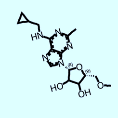 COC[C@H]1O[C@@H](n2cnc3c(NCC4CC4)nc(C)nc32)C(O)C1O